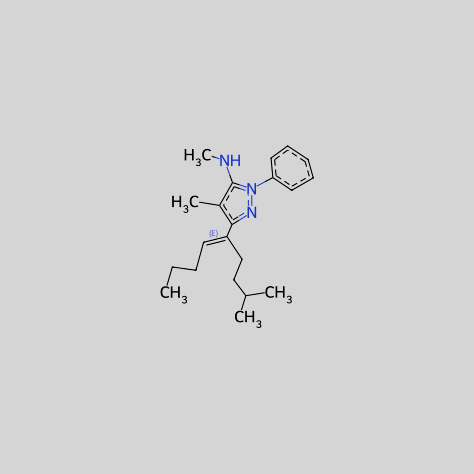 CCC/C=C(\CCC(C)C)c1nn(-c2ccccc2)c(NC)c1C